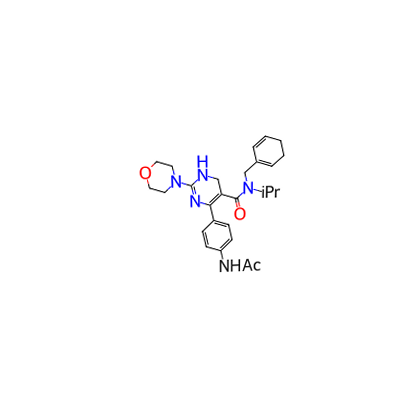 CC(=O)Nc1ccc(C2=C(C(=O)N(CC3=CCCC=C3)C(C)C)CNC(N3CCOCC3)=N2)cc1